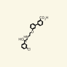 O=C(O)c1cccc(-c2cccc(OCCNC[C@H](O)c3cccc(Cl)c3)c2)c1